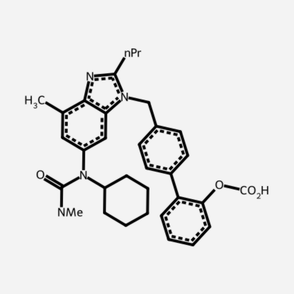 CCCc1nc2c(C)cc(N(C(=O)NC)C3CCCCC3)cc2n1Cc1ccc(-c2ccccc2OC(=O)O)cc1